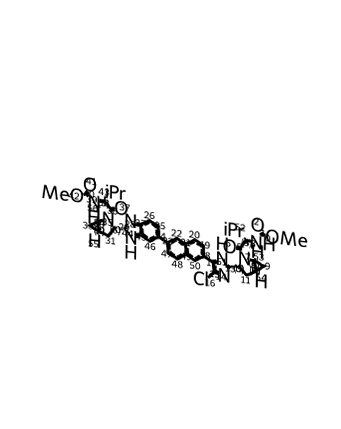 COC(=O)N[C@H](C(=O)N1[C@@H]2C[C@@H]2C[C@H]1c1nc(Cl)c(-c2ccc3cc(-c4ccc5nc([C@@H]6C[C@H]7C[C@H]7N6C(=O)[C@@H](NC(=O)OC)C(C)C)[nH]c5c4)ccc3c2)[nH]1)C(C)C